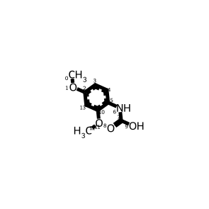 COc1ccc(NC(=O)O)c(OC)c1